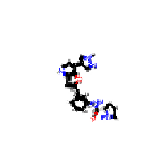 Cn1cc(-c2ccnc3cc(-c4cccc(NC(=O)[C@@H]5CCCN5)c4)oc23)cn1